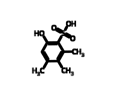 Cc1cc(O)c(S(=O)(=O)O)c(C)c1C